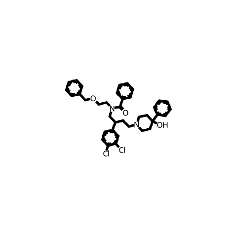 O=C(c1ccccc1)N(CCOCc1ccccc1)CC(CCN1CCC(O)(c2ccccc2)CC1)c1ccc(Cl)c(Cl)c1